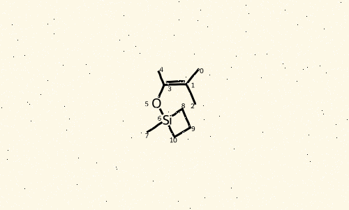 CC(C)=C(C)O[Si]1(C)CCC1